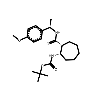 COc1ccc([C@@H](C)NC(=O)[C@@H]2CCCCC[C@@H]2NC(=O)OC(C)(C)C)cc1